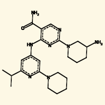 CC(C)c1cc(Nc2nc(N3CCCC(N)C3)ncc2C(N)=O)cc(N2CCCCC2)n1